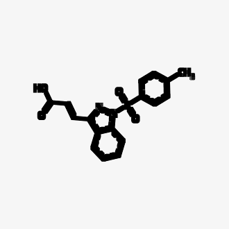 Cc1ccc(S(=O)(=O)n2nc(/C=C/C(=O)O)c3ccccc32)cc1